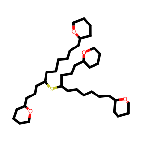 C(CCCC(CCCC1CCCCO1)SC(CCCCCCC1CCCCO1)CCCC1CCCCO1)CCC1CCCCO1